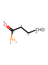 O=CCCC(=O)P